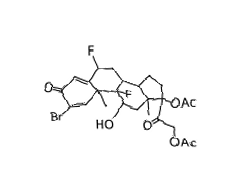 CC(=O)OCC(=O)C1(OC(C)=O)CCC2C3CC(F)C4=CC(=O)C(Br)=CC4(C)C3(F)C(O)CC21C